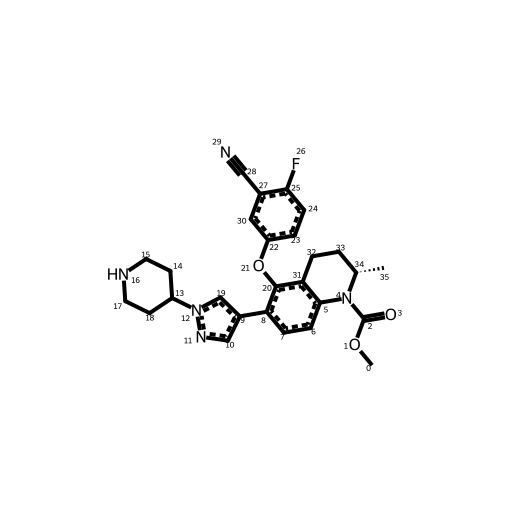 COC(=O)N1c2ccc(-c3cnn(C4CCNCC4)c3)c(Oc3ccc(F)c(C#N)c3)c2CC[C@@H]1C